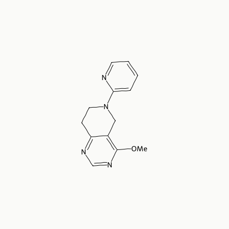 COc1ncnc2c1CN(c1ccccn1)CC2